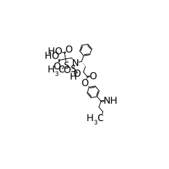 CCCC(=N)c1ccc(OC(=O)CC[C@@H](c2ccccc2)N(CC(SC)(C(=O)O)C(=O)O)[SH](=O)=O)cc1